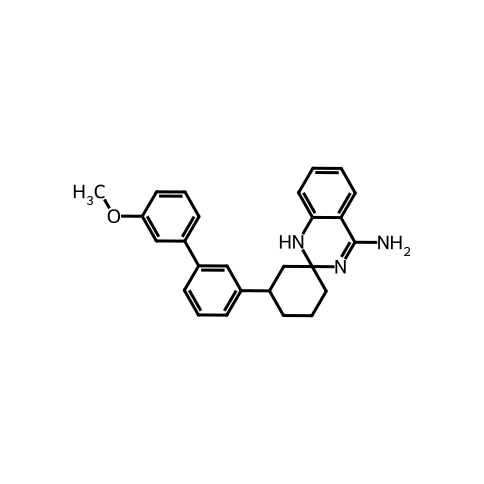 COc1cccc(-c2cccc(C3CCCC4(C3)N=C(N)c3ccccc3N4)c2)c1